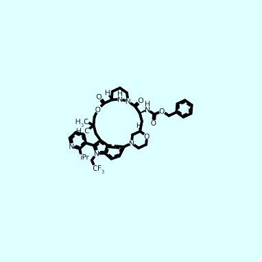 CC(C)c1ncccc1-c1c2c3cc(ccc3n1CC(F)(F)F)N1CCO[C@@H](C[C@H](NC(=O)OCc3ccccc3)C(=O)N3CCC[C@H](N3)C(=O)OCC(C)(C)C2)C1